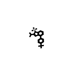 CC(C)C1=Cc2c(-c3ccc(C(C)(C)C)cc3)cccc2C1[Si](C)(C)C